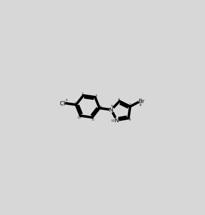 Clc1ccc(-n2cc(Br)cn2)cc1